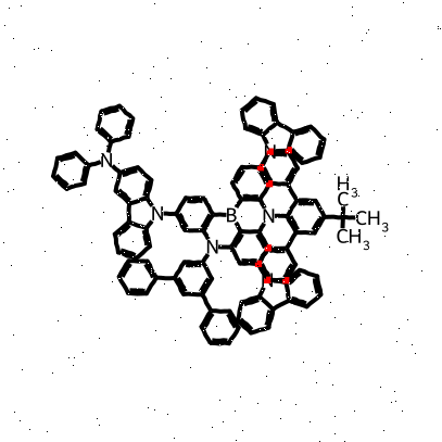 CC(C)(C)c1cc(-c2ccccc2)c(N2c3cc(-n4c5ccccc5c5ccccc54)ccc3B3c4ccc(-n5c6ccccc6c6cc(N(c7ccccc7)c7ccccc7)ccc65)cc4N(c4cc(-c5ccccc5)cc(-c5ccccc5)c4)c4cc(-n5c6ccccc6c6ccccc65)cc2c43)c(-c2ccccc2)c1